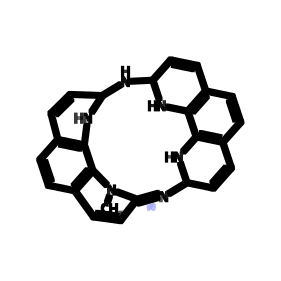 CN1/C2=N\C3C=Cc4ccc5c(c4N3)NC(C=C5)NC3C=Cc4ccc(c1c4N3)C=C2